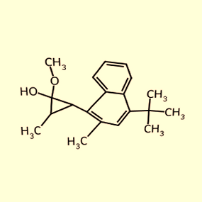 COC1(O)C(C)C1c1c(C)cc(C(C)(C)C)c2ccccc12